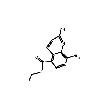 CCOC(=O)c1cnc(N)c2nc(O)ccc12